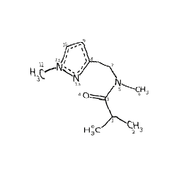 CC(C)C(=O)N(C)Cc1ccn(C)n1